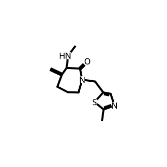 C=C1CCCN(Cc2cnc(C)s2)C(=O)C1NC